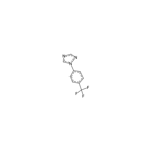 FC(F)(F)c1c[c]c(-n2cncn2)cc1